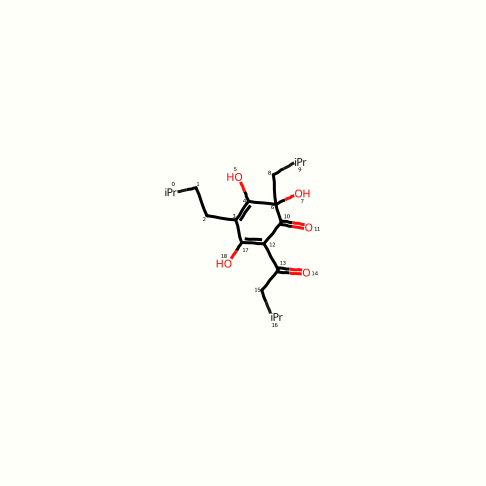 CC(C)CCC1=C(O)C(O)(CC(C)C)C(=O)C(C(=O)CC(C)C)=C1O